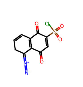 [N-]=[N+]=C1CC=CC2=C1C(=O)C=C(S(=O)(=O)Cl)C2=O